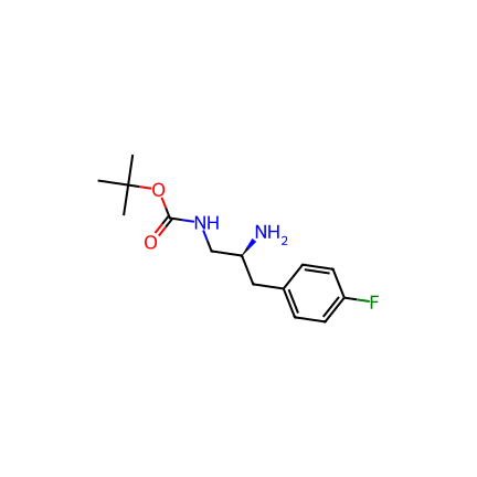 CC(C)(C)OC(=O)NC[C@@H](N)Cc1ccc(F)cc1